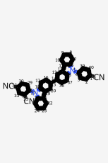 N#Cc1ccc(-n2c3ccccc3c3cc(-c4ccc5c(c4)c4ccccc4n5-c4ccc(C#N)cc4C#N)ccc32)cc1